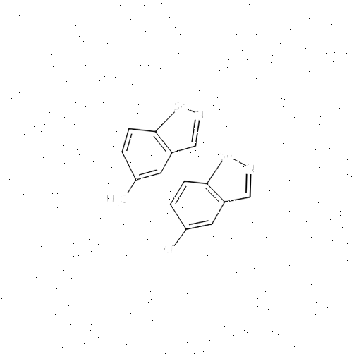 Cc1ccc2[se]ncc2c1.Clc1ccc2[se]ncc2c1